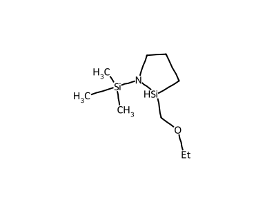 CCOC[SiH]1CCCN1[Si](C)(C)C